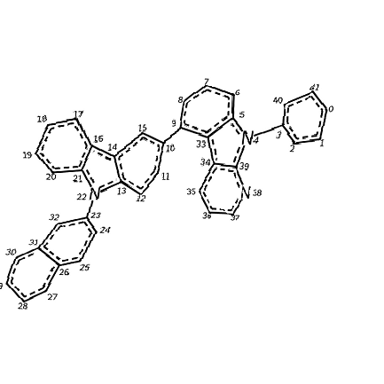 c1ccc(-n2c3cccc(-c4ccc5c(c4)c4ccccc4n5-c4ccc5ccccc5c4)c3c3cccnc32)cc1